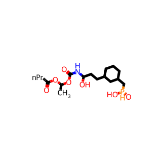 CCCC(=O)OC(C)OC(=O)NC(O)CCC1CCCC(C[PH](=O)O)C1